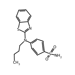 CCCCN(c1ccc(S(N)(=O)=O)cc1)c1nc2ccccc2s1